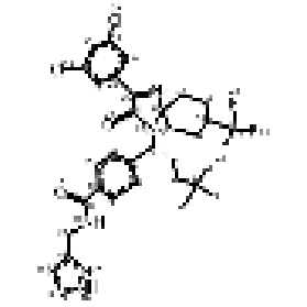 CC(C)(C)CC[C@H](c1ccc(C(=O)NCc2nn[nH]n2)cc1)N1C(=O)C(c2cc(Cl)cc(Cl)c2)=NC12CCC(C(F)(F)F)CC2